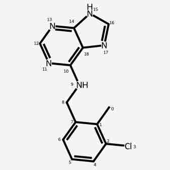 Cc1c(Cl)cccc1CNc1ncnc2[nH]cnc12